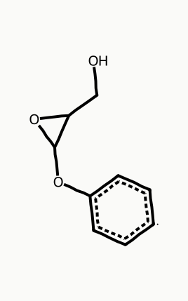 OCC1OC1Oc1cc[c]cc1